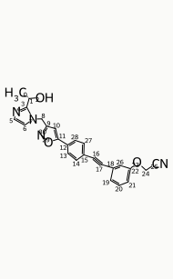 C[C@H](O)c1nccn1Cc1cc(-c2ccc(C#Cc3cccc(OCC#N)c3)cc2)on1